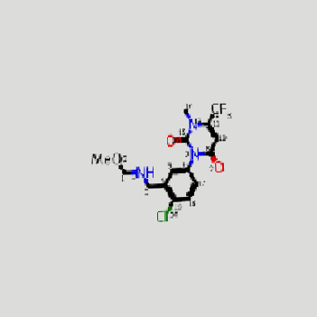 COCNCc1cc(-n2c(=O)cc(C(F)(F)F)n(C)c2=O)ccc1Cl